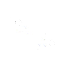 CN(C)c1nc(NC2CCC(CNC(=O)Nc3ccc(F)cc3F)CC2)nc2ccccc12